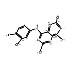 Fc1ccc(Nc2nc(Cl)nc3c(Cl)nc(Cl)nc23)cc1Cl